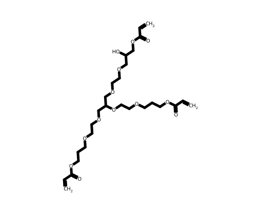 C=CC(=O)OCCCOCCOCC(COCCOCC(O)COC(=O)C=C)OCCOCCCOC(=O)C=C